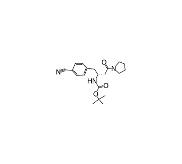 CC(C)(C)OC(=O)N[C@@H](CC(=O)N1CCCC1)Cc1ccc(C#N)cc1